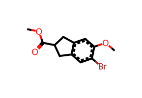 COC(=O)C1Cc2cc(Br)c(OC)cc2C1